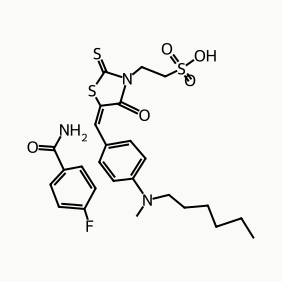 CCCCCCN(C)c1ccc(C=C2SC(=S)N(CCS(=O)(=O)O)C2=O)cc1.NC(=O)c1ccc(F)cc1